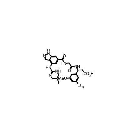 COc1cc([C@H](CC(=O)O)NC(=O)CNC(=O)c2cc(NC3=NCC(F)CN3)c3cn[nH]c3c2)cc(C(F)(F)F)c1